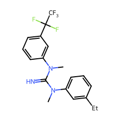 CCc1cccc(N(C)C(=N)N(C)c2cccc(C(F)(F)C(F)(F)F)c2)c1